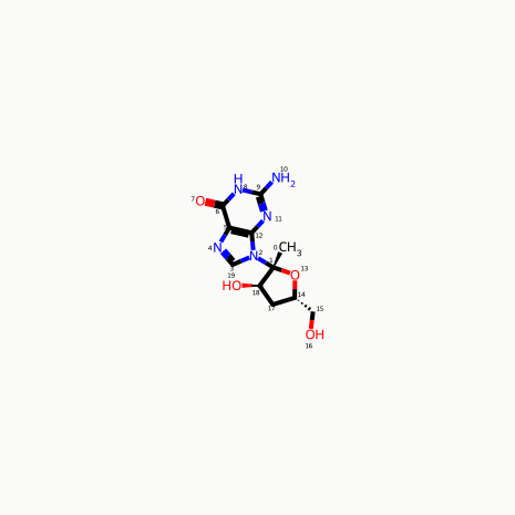 C[C@@]1(n2cnc3c(=O)[nH]c(N)nc32)O[C@H](CO)C[C@H]1O